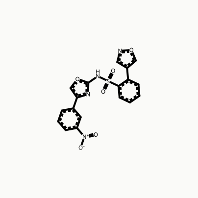 O=[N+]([O-])c1cccc(-c2coc(NS(=O)(=O)c3ccccc3-c3cnoc3)n2)c1